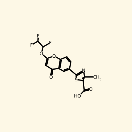 Cc1nc(-c2ccc3oc(OC(F)C(F)F)cc(=O)c3c2)sc1C(=O)O